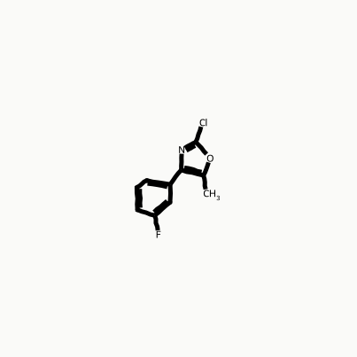 Cc1oc(Cl)nc1-c1cccc(F)c1